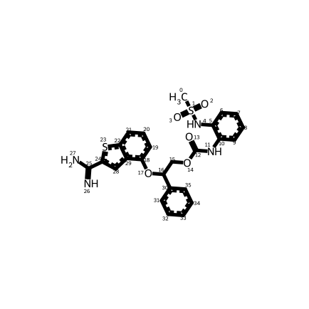 CS(=O)(=O)Nc1ccccc1NC(=O)OCC(Oc1cccc2sc(C(=N)N)cc12)c1ccccc1